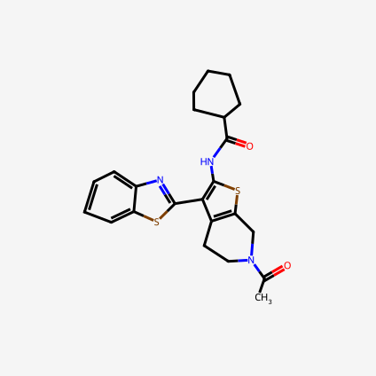 CC(=O)N1CCc2c(sc(NC(=O)C3CCCCC3)c2-c2nc3ccccc3s2)C1